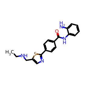 CCNCc1cnc(-c2ccc(C(=O)Nc3ccccc3N)cc2)s1